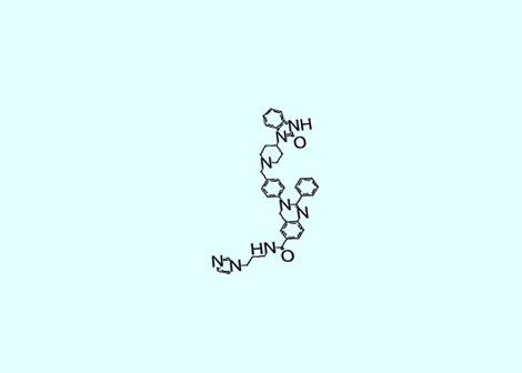 O=C(NCCCn1ccnc1)c1ccc2c(c1)CN(c1ccc(CN3CCC(n4c(=O)[nH]c5ccccc54)CC3)cc1)C(c1ccccc1)=N2